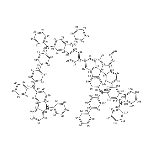 C=C/C=C1\C(=C/C)C2(c3ccccc31)c1ccc(-c3ccc4c5cc(N(c6ccccc6)c6ccc(-c7ccc(N(c8ccccc8)c8ccc9c(c8)c8ccccc8n9-c8ccccc8)cc7)cc6)ccc5n(-c5ccccc5)c4c3)cc1-c1ccc(N(c3ccc(-c4ccccc4)cc3)c3ccc4c5ccccc5n(-c5ccccc5)c4c3)cc12